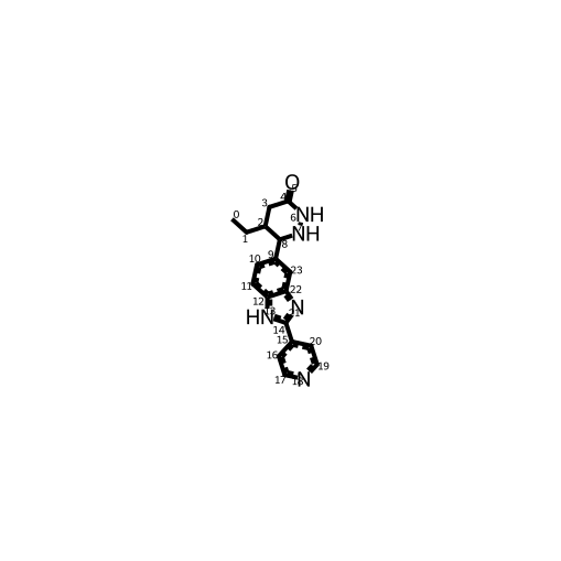 CCC1CC(=O)NNC1c1ccc2[nH]c(-c3ccncc3)nc2c1